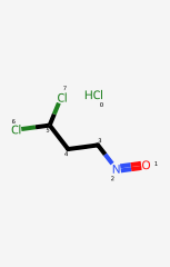 Cl.O=NCCC(Cl)Cl